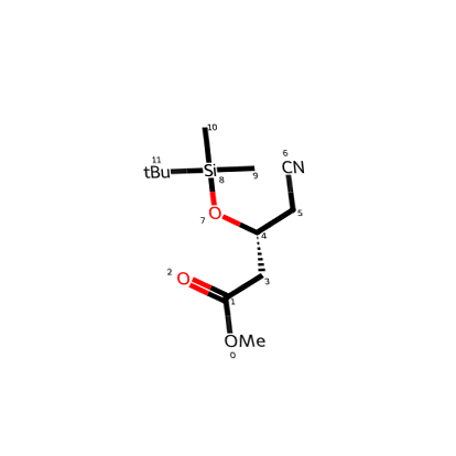 COC(=O)C[C@@H](CC#N)O[Si](C)(C)C(C)(C)C